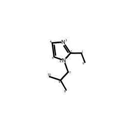 CCc1nccn1C[C](C)C